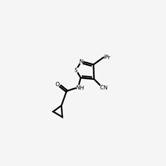 CC(C)c1nsc(NC(=O)C2CC2)c1C#N